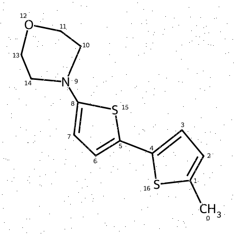 Cc1ccc(-c2ccc(N3CCOCC3)s2)s1